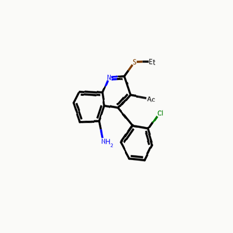 CCSc1nc2cccc(N)c2c(-c2ccccc2Cl)c1C(C)=O